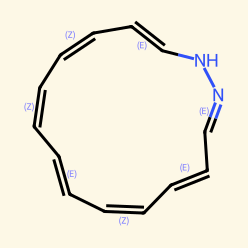 C1=C\C=C\C=C/C=C/C=N/N\C=C\C=C/1